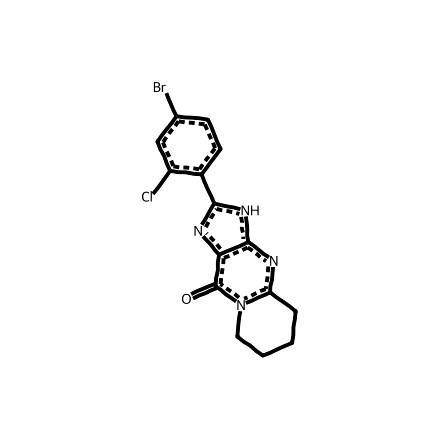 O=c1c2nc(-c3ccc(Br)cc3Cl)[nH]c2nc2n1CCCC2